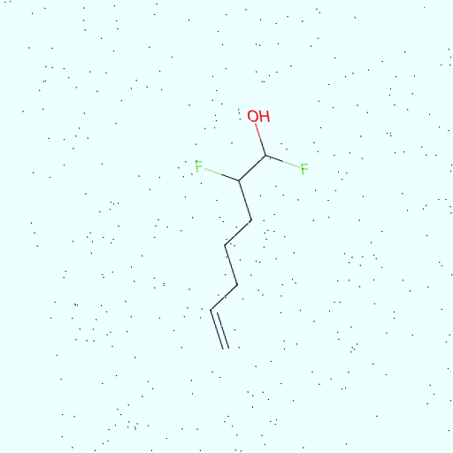 C=CCCCC(F)C(O)F